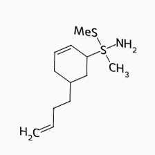 C=CCCC1CC=CC(S(C)(N)SC)C1